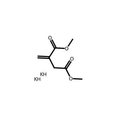 C=C(CC(=O)OC)C(=O)OC.[KH].[KH]